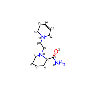 NC(=O)C1C[CH]CCN1CCN1CC=CCC1